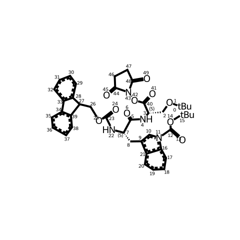 CC(C)(C)OC[C@H](NC(=O)[C@H](Cc1cn(C(=O)OC(C)(C)C)c2ccccc12)NC(=O)OCC1c2ccccc2-c2ccccc21)C(=O)ON1C(=O)CCC1=O